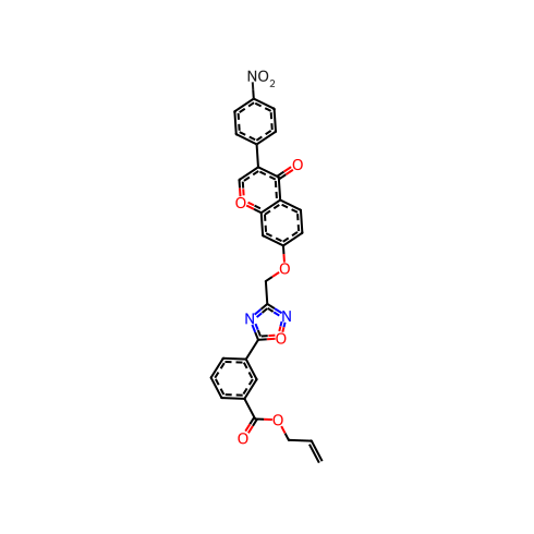 C=CCOC(=O)c1cccc(-c2nc(COc3ccc4c(=O)c(-c5ccc([N+](=O)[O-])cc5)coc4c3)no2)c1